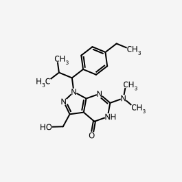 CCc1ccc(C(C(C)C)n2nc(CO)c3c(=O)[nH]c(N(C)C)nc32)cc1